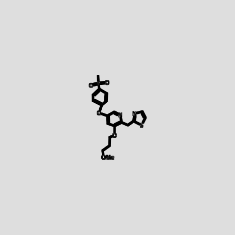 COCCCOc1cc(Oc2ccc(S(C)(=O)=O)cc2)cnc1Cc1nccs1